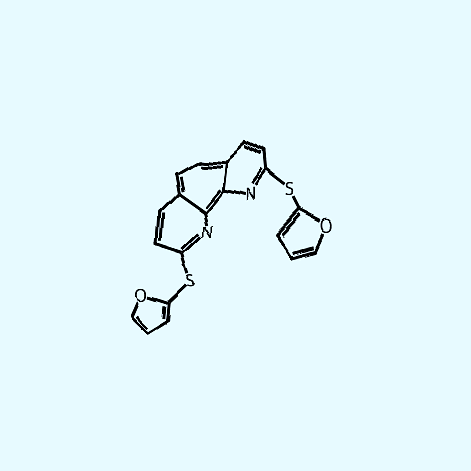 c1coc(Sc2ccc3ccc4ccc(Sc5ccco5)nc4c3n2)c1